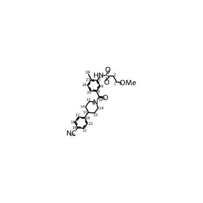 COCCS(=O)(=O)Nc1cc(C(=O)N2CCC(c3ccc(C#N)cc3)CC2)ccc1C